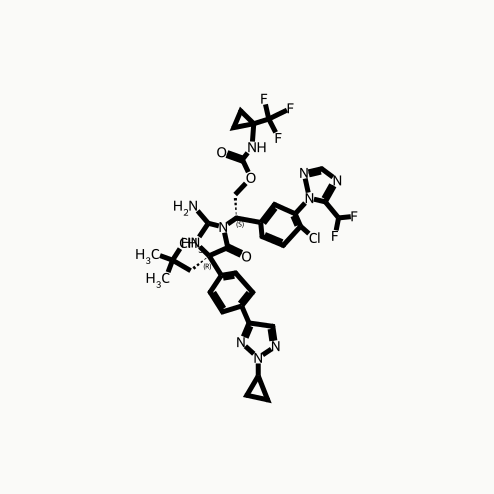 CC(C)(C)C[C@]1(c2ccc(-c3cnn(C4CC4)n3)cc2)NC(N)N([C@H](COC(=O)NC2(C(F)(F)F)CC2)c2ccc(Cl)c(-n3ncnc3C(F)F)c2)C1=O